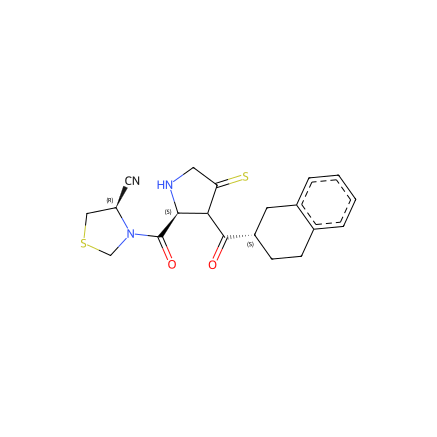 N#C[C@@H]1CSCN1C(=O)[C@H]1NCC(=S)C1C(=O)[C@H]1CCc2ccccc2C1